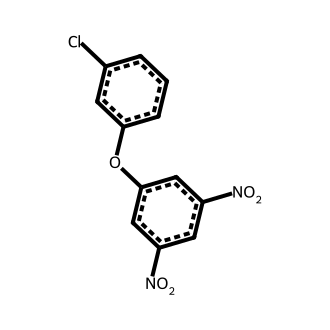 O=[N+]([O-])c1cc(Oc2cccc(Cl)c2)cc([N+](=O)[O-])c1